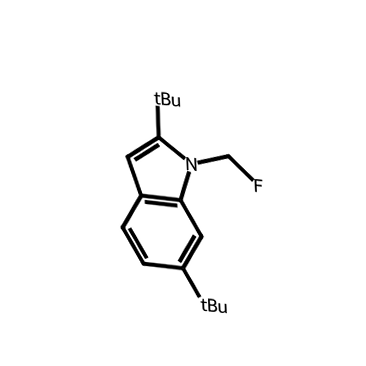 CC(C)(C)c1ccc2cc(C(C)(C)C)n(CF)c2c1